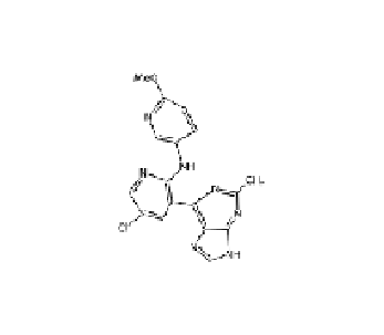 COc1ccc(Nc2ncc(Cl)cc2-c2nc(C)nc3[nH]cnc23)cn1